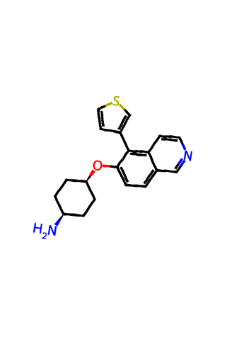 N[C@H]1CC[C@@H](Oc2ccc3cnccc3c2-c2ccsc2)CC1